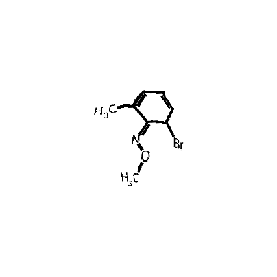 CON=C1C(C)=CC=CC1Br